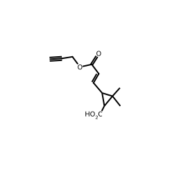 C#CCOC(=O)C=CC1C(C(=O)O)C1(C)C